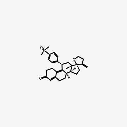 C=C1CCO[C@]12CC[C@H]1[C@@H]3CCC4=CC(=O)CCC4=C3[C@@H](c3ccc(P(C)(C)=O)cc3)C[C@@]12C